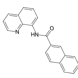 O=C(Nc1cccc2cccnc12)c1ccc2ccccc2c1